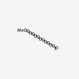 COCCOCCOCCOCCOCCOCCOCCOCCOCCOCCOCCOCCC(=O)I